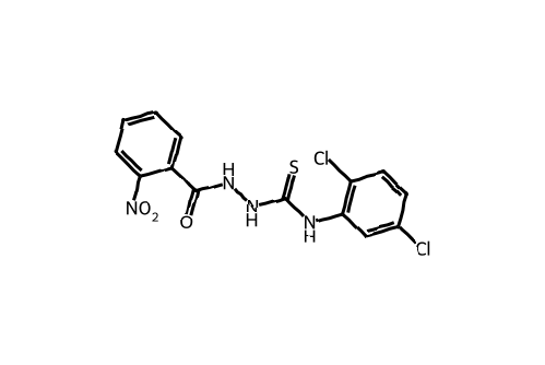 O=C(NNC(=S)Nc1cc(Cl)ccc1Cl)c1ccccc1[N+](=O)[O-]